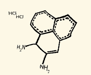 Cl.Cl.NC1=Cc2cccc3cccc(c23)C1N